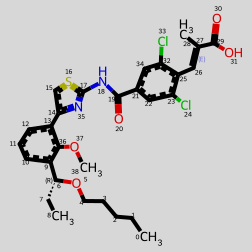 CCCCCO[C@H](CC)c1cccc(-c2csc(NC(=O)c3cc(Cl)c(/C=C(\C)C(=O)O)c(Cl)c3)n2)c1OC